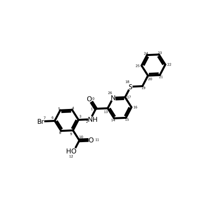 O=C(Nc1ccc(Br)cc1C(=O)O)c1cccc(SCc2ccccc2)n1